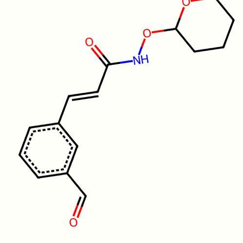 O=Cc1cccc(C=CC(=O)NOC2CCCCO2)c1